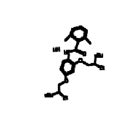 CCCCC(CC)COc1ccc(PC(=O)c2c(C)cccc2C)c(OCC(CC)CCCC)c1.[LiH]